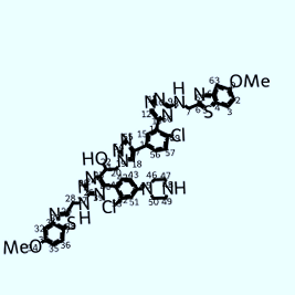 COc1ccc2sc(CNc3nncc(-c4cc(-c5cn(CC(O)c6nnc(NCc7nc8cc(OC)ccc8s7)nc6-c6ccc(N7CCNCC7)cc6Cl)nn5)ccc4Cl)n3)nc2c1